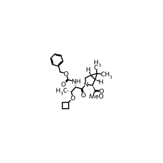 COC(=O)[C@@H]1[C@@H]2[C@H](CN1C(=O)[C@@H](NC(=O)OCc1ccccc1)[C@@H](C)OC1CCC1)C2(C)C